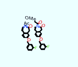 CC(=O)N1C=Cc2ccc(OCc3cccc(F)c3)cc2CC1=O.COCC(=O)N1C=Cc2ccc(OCc3cccc(F)c3)cc2CC1=O